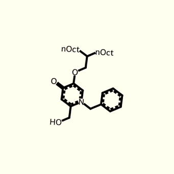 CCCCCCCCC(CCCCCCCC)COc1cn(Cc2ccccc2)c(CO)cc1=O